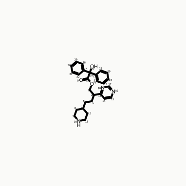 O=C(OCC(CCC1CCNCC1)c1ccncn1)C(O)(c1ccccc1)c1ccccc1